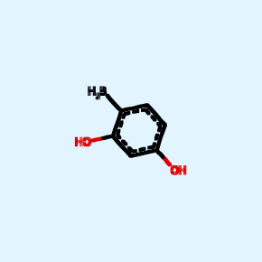 Bc1ccc(O)cc1O